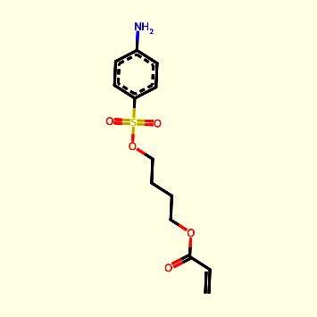 C=CC(=O)OCCCCOS(=O)(=O)c1ccc(N)cc1